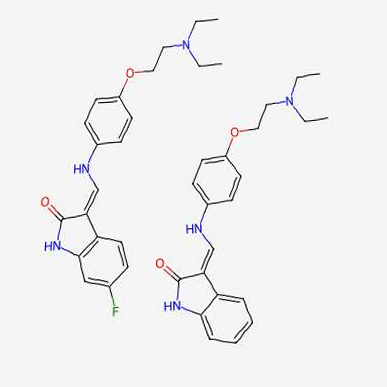 CCN(CC)CCOc1ccc(NC=C2C(=O)Nc3cc(F)ccc32)cc1.CCN(CC)CCOc1ccc(NC=C2C(=O)Nc3ccccc32)cc1